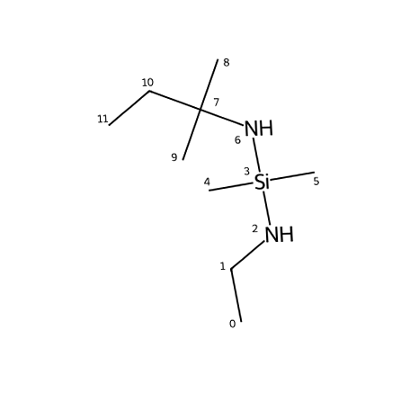 CCN[Si](C)(C)NC(C)(C)CC